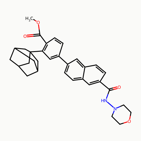 COC(=O)c1ccc(-c2ccc3cc(C(=O)NN4CCOCC4)ccc3c2)cc1C12CC3CC(CC(C3)C1)C2